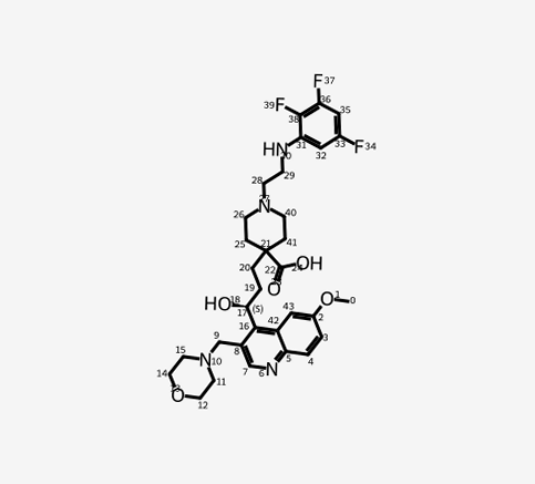 COc1ccc2ncc(CN3CCOCC3)c([C@@H](O)CCC3(C(=O)O)CCN(CCNc4cc(F)cc(F)c4F)CC3)c2c1